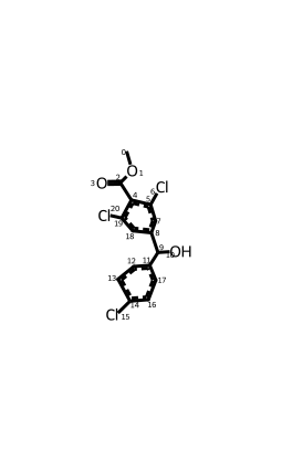 COC(=O)c1c(Cl)cc(C(O)c2ccc(Cl)cc2)cc1Cl